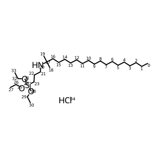 CCCCCCCCCCCCCCCCCC(C)(C)NCCC[Si](OCC)(OCC)OCC.Cl